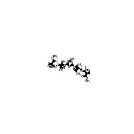 COC(=O)c1cn[nH]c1/N=N/c1c(C)nn(-c2nc(O)nc(-n3nc(C)c(/N=N/c4[nH]ncc4C(=O)OC)c3N)n2)c1N